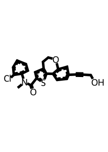 CN(C(=O)c1cc2c(s1)-c1ccc(C#CCO)cc1OCC2)c1ccccc1Cl